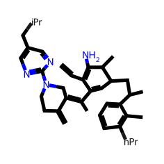 C=CC1=C(N)C(C)C(CC(C)c2cccc(CCC)c2C)C=C1/C(C)=C1\CN(c2ncc(CC(C)C)cn2)CCC1=C